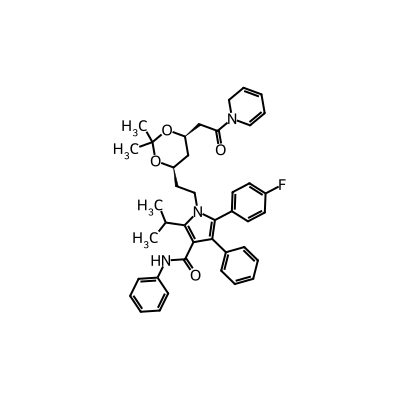 CC(C)c1c(C(=O)Nc2ccccc2)c(-c2ccccc2)c(-c2ccc(F)cc2)n1CC[C@@H]1C[C@H](CC(=O)N2C=CC=CC2)OC(C)(C)O1